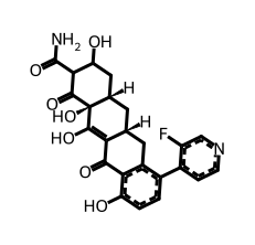 NC(=O)C1C(=O)[C@@]2(O)C(O)=C3C(=O)c4c(O)ccc(-c5ccncc5F)c4C[C@H]3C[C@H]2CC1O